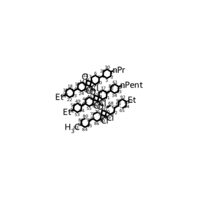 CCCC1CCC(C2CCC3(CC2)C(=O)C2(CCC(C4CCC(CC)CC4)CC2)C3(Cl)Cl)CC1.CCCCCC1CCC(C2CCC3(CC2)C(=O)C2(CCC(C4CCC(CC)CC4)CC2)C3(Cl)Cl)CC1.CC[C@H]1CC[C@H]([C@H]2CC[C@@]3(CC2)C(=O)[C@]2(CC[C@H]([C@H]4CC[C@H](C)CC4)CC2)C3(Cl)Cl)CC1